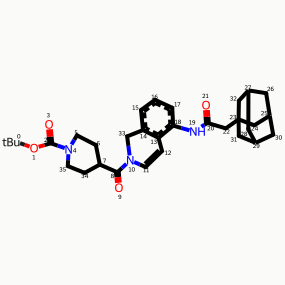 CC(C)(C)OC(=O)N1CCC(C(=O)N2C=Cc3c(cccc3NC(=O)CC34CC5CC(CC(C5)C3)C4)C2)CC1